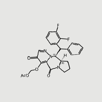 CC(=O)OCOc1c2n(ncc1=O)[C@@H](C(c1ccccc1)c1cccc(F)c1F)[C@H]1CCCN1C2=O